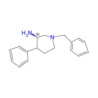 N[C@H]1CN(Cc2ccccc2)CCC1c1ccccc1